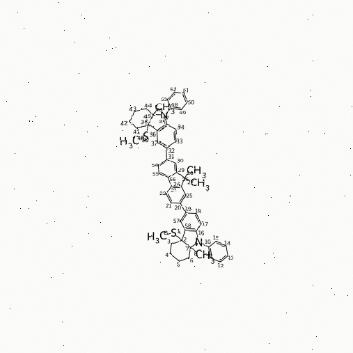 CSC12CCCCC1(C)N(c1ccccc1)c1ccc(-c3ccc4c(c3)C(C)(C)c3cc(-c5ccc6c(c5)C5(SC)CCCCC5(C)N6c5ccccc5)ccc3-4)cc12